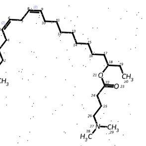 CCCCC/C=C\C/C=C\CCCCCCCCC(CC)OC(=O)CCCN(C)C